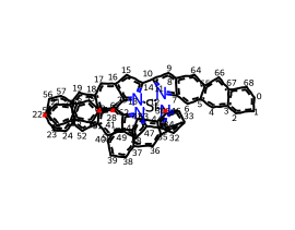 c1ccc2cc3cc4c(cc5n4[Si]4(n6c-5cc5cc7cc8ccccc8cc7cc56)n5c(cc6cc7cc8ccccc8cc7cc65)-c5cc6cc7cc8ccccc8cc7cc6n54)cc3cc2c1